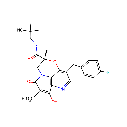 CCOC(=O)c1c(O)c2ncc(Cc3ccc(F)cc3)c3c2n(c1=O)C[C@](C)(C(=O)NCC(C)(C)C#N)O3